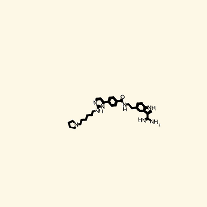 N=C(N)c1c[nH]c2ccc(CCNC(=O)c3ccc(-c4ccnc(NCCCCCCN5CCCC5)n4)cc3)cc12